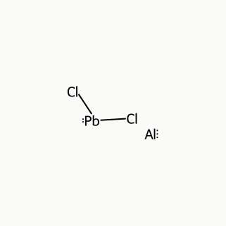 [Al].[Cl][Pb][Cl]